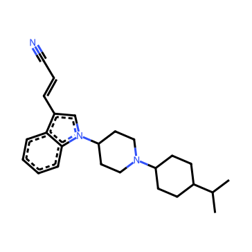 CC(C)C1CCC(N2CCC(n3cc(/C=C/C#N)c4ccccc43)CC2)CC1